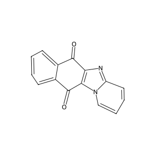 O=C1c2ccccc2C(=O)c2c1nc1ccccn21